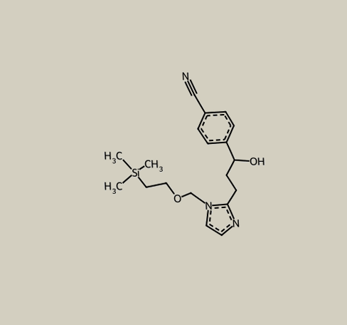 C[Si](C)(C)CCOCn1ccnc1CCC(O)c1ccc(C#N)cc1